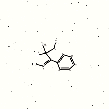 CC(Cl)(CCl)C(=NO)c1ccccc1